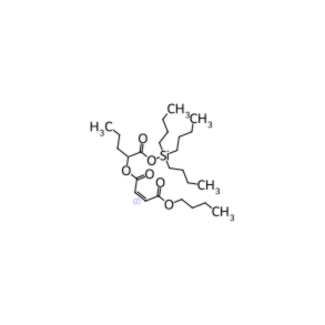 CCCCOC(=O)/C=C\C(=O)OC(CCC)C(=O)O[Si](CCCC)(CCCC)CCCC